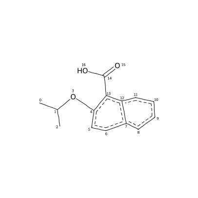 CC(C)Oc1ccc2ccccc2c1C(=O)O